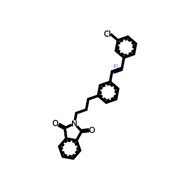 O=C1c2ccccc2C(=O)N1CCCc1cccc(/C=C/c2cccc(Cl)c2)c1